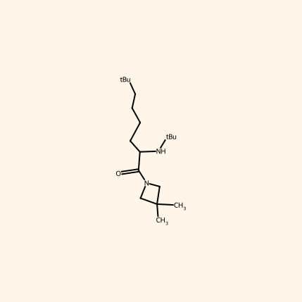 CC(C)(C)CCCCC(NC(C)(C)C)C(=O)N1CC(C)(C)C1